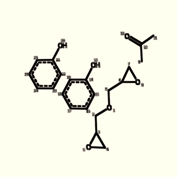 C(OCC1CO1)C1CO1.CC(C)=O.Oc1ccccc1.Oc1ccccc1